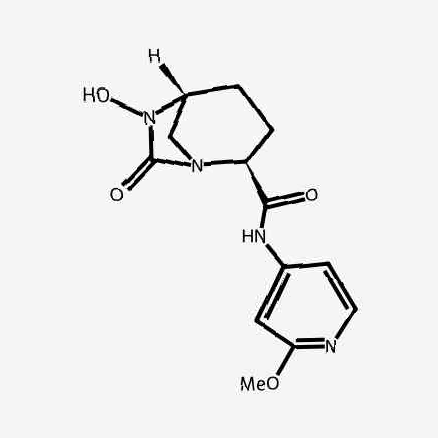 COc1cc(NC(=O)[C@@H]2CC[C@@H]3CN2C(=O)N3O)ccn1